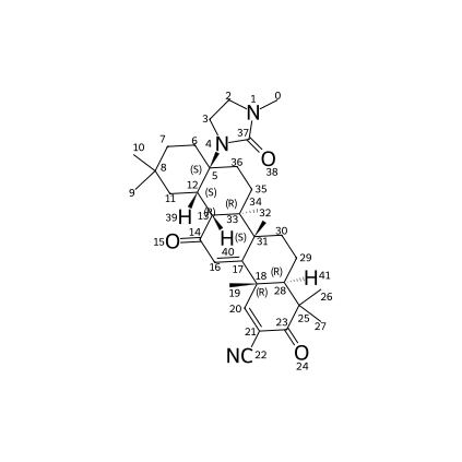 CN1CCN([C@]23CCC(C)(C)C[C@H]2[C@H]2C(=O)C=C4[C@@]5(C)C=C(C#N)C(=O)C(C)(C)[C@@H]5CC[C@@]4(C)[C@]2(C)CC3)C1=O